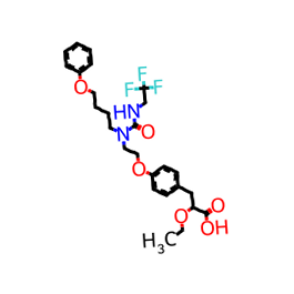 CCOC(Cc1ccc(OCCN(CCCCOc2ccccc2)C(=O)NCC(F)(F)F)cc1)C(=O)O